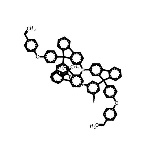 C=Cc1ccc(Oc2ccc(C3(c4cc(F)cc(F)c4)c4ccccc4-c4ccc(N(c5ccc6c(c5)C(c5ccc(Oc7ccc(C=C)cc7)cc5)(c5cc(F)cc(F)c5)c5ccccc5-6)c5cccc6c5C(C)(C)c5ccccc5-6)cc43)cc2)cc1